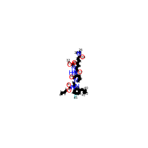 CCCCOC(=O)n1c(Cn2cccc(NC(=O)C(CCC=CC(=O)N(C)C)NC(=O)OC)c2=O)nc2c(CC(C)(C)C)cc(F)cc21